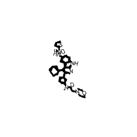 CN(C(=O)CN1CCOCC1)c1cccc(-c2cnc3[nH]c4ccc(NS(=O)(=O)c5cccs5)cc4c3c2C2=CC=CCC2)c1